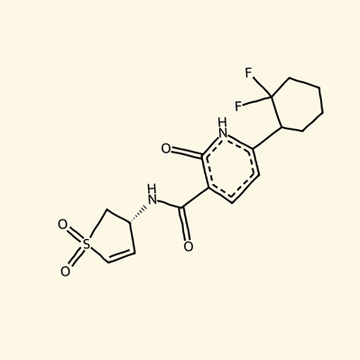 O=C(N[C@@H]1C=CS(=O)(=O)C1)c1ccc(C2CCCCC2(F)F)[nH]c1=O